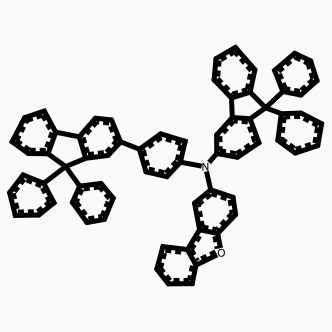 c1ccc(C2(c3ccccc3)c3ccccc3-c3cc(N(c4ccc(-c5ccc6c(c5)C(c5ccccc5)(c5ccccc5)c5ccccc5-6)cc4)c4ccc5oc6ccccc6c5c4)ccc32)cc1